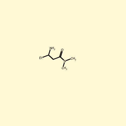 CCC(N)CC(=O)N(C)C